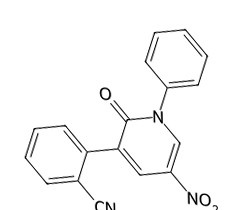 N#Cc1ccccc1-c1cc([N+](=O)[O-])cn(-c2ccccc2)c1=O